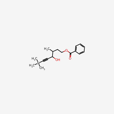 CC(CCOC(=O)c1ccccc1)C(O)C#C[Si](C)(C)C